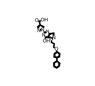 O=C(O)c1cnn(-c2nc(O)c3c(cnn3CCCOc3ccc(-c4ccccc4)cc3)n2)c1